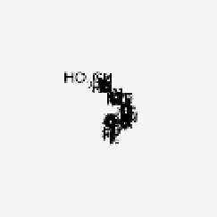 O=C(O)[C@H]1[C@@H]2CC(c3ncc(-c4cn5c6c(nc5cc4F)CC[C@@H]6c4ccccc4OC(F)F)cn3)C[C@@H]21